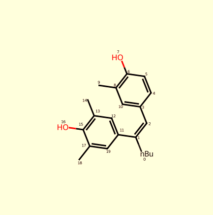 CCCCC(=Cc1ccc(O)c(C)c1)c1cc(C)c(O)c(C)c1